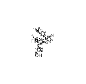 CCCN/C(NC(Oc1cccc(CN(C)C)c1)/C(C)=C\c1ccc(Cl)cc1)=C(/C)CN(C=O)CCCO